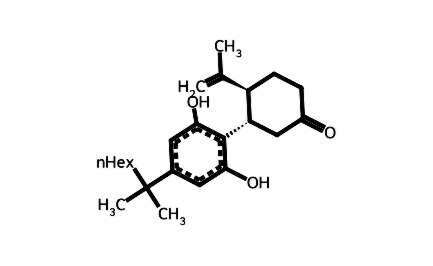 C=C(C)[C@H]1CCC(=O)C[C@@H]1c1c(O)cc(C(C)(C)CCCCCC)cc1O